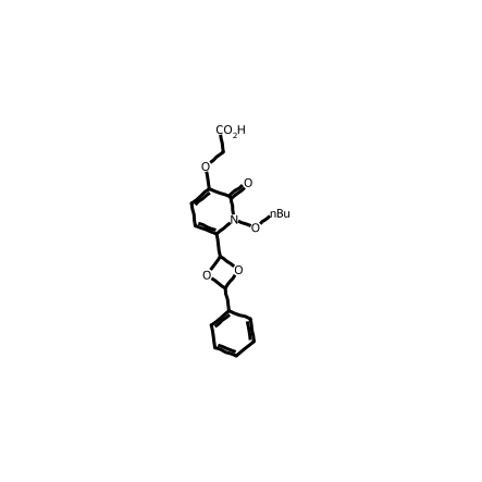 CCCCOn1c(C2OC(c3ccccc3)O2)ccc(OCC(=O)O)c1=O